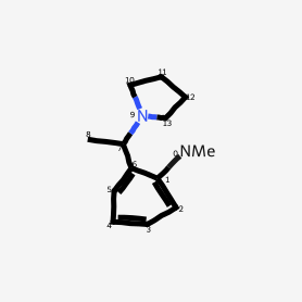 CNc1ccccc1C(C)N1CCCC1